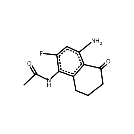 CC(=O)Nc1c(F)cc(N)c2c1CCCC2=O